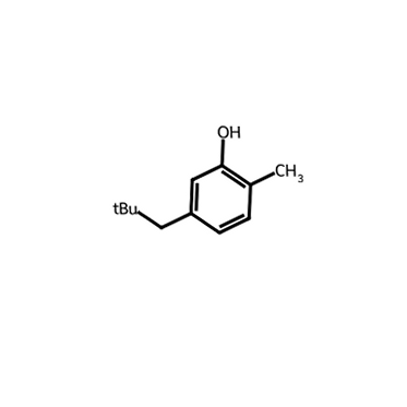 Cc1ccc(CC(C)(C)C)cc1O